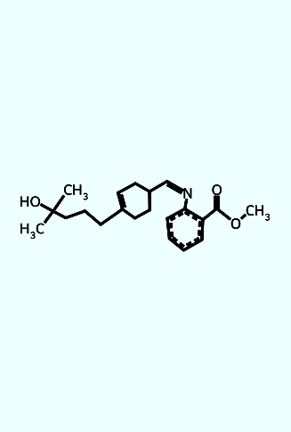 COC(=O)c1ccccc1/N=C\C1CC=C(CCCC(C)(C)O)CC1